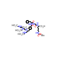 CC(C)(C)OC(=O)NCCCCC(NC(=O)CNC(=O)C(Cc1ccccc1)NC(=O)c1ccc(CC(CNCC(=O)O)N(CCN(CCNCC(=O)O)CC(=O)O)CC(=O)O)cc1)C(=O)O